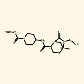 CCCCOC(=O)N1CCC(NC(=O)[C@@H]2CC[C@@H]3CN2C(=O)N3OCCCC)CC1